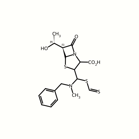 C[C@@H](O)[C@H]1C(=O)N2C(C(=O)O)C(C(SC=S)N(C)Cc3ccccc3)SC12